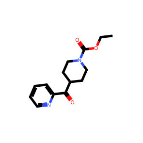 CCOC(=O)N1CCC(C(=O)c2ccccn2)CC1